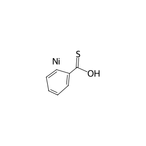 OC(=S)c1ccccc1.[Ni]